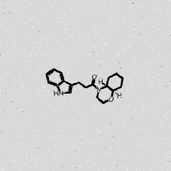 O=C(CCc1c[nH]c2ccccc12)N1CCO[C@@H]2CCCC[C@H]21